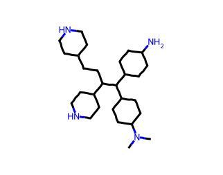 CN(C)C1CCC(C(C2CCC(N)CC2)C(CCC2CCNCC2)C2CCNCC2)CC1